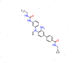 C=CN(c1cccc(NC(=O)NCC(F)(F)F)c1)c1ccc(-c2ccc(C(=O)NCC3CC3)cc2)cc1N